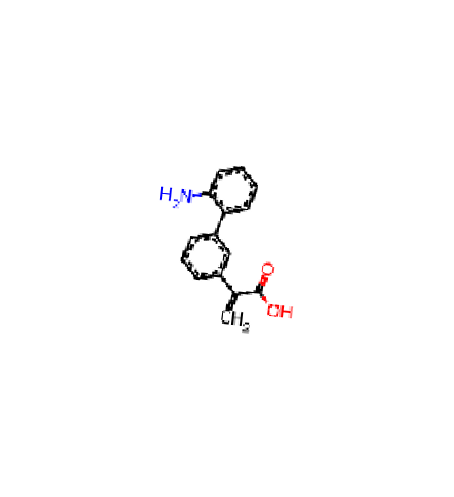 C=C(C(=O)O)c1cccc(-c2ccccc2N)c1